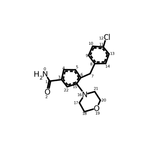 NC(=O)c1ccc(Cc2ccc(Cl)cc2)c(N2CCOCC2)c1